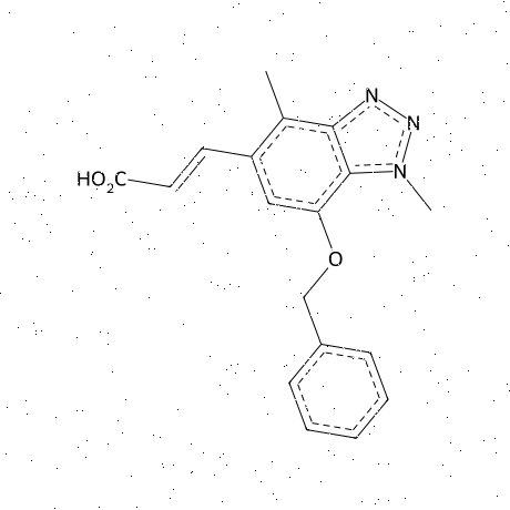 Cc1c(/C=C/C(=O)O)cc(OCc2ccccc2)c2c1nnn2C